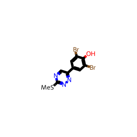 CSc1ncc(-c2cc(Br)c(O)c(Br)c2)nn1